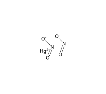 O=N[O-].O=N[O-].[Hg+2]